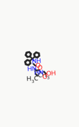 CC(C)C[C@H](NC(=O)CNC(c1ccccc1)(c1ccccc1)c1ccccc1)C(=O)NCC(=O)O